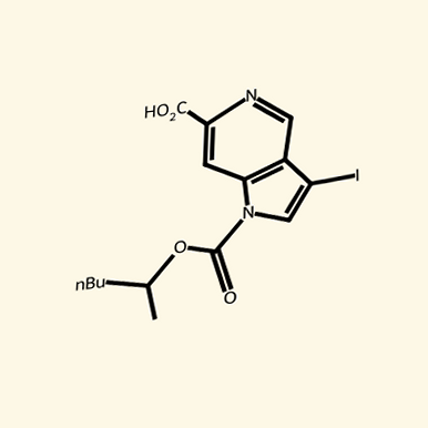 CCCCC(C)OC(=O)n1cc(I)c2cnc(C(=O)O)cc21